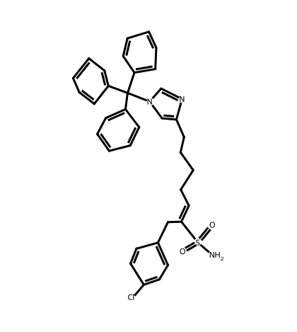 NS(=O)(=O)/C(=C/CCCCc1cn(C(c2ccccc2)(c2ccccc2)c2ccccc2)cn1)Cc1ccc(Cl)cc1